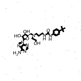 CC(C)(C)c1ccc(NC(=O)NCCCN(CCO)C[C@H]2OC(n3cnc4c(N)ncnc43)[C@H](O)[C@@H]2O)cc1